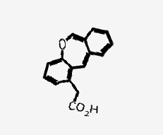 O=C(O)Cc1cccc2c1C=c1ccccc1=CO2